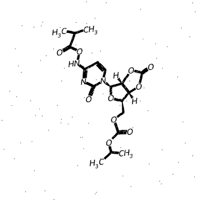 CC(C)OC(=O)OC[C@H]1O[C@@H](n2ccc(NOC(=O)C(C)C)nc2=O)[C@@H]2OC(=O)O[C@@H]21